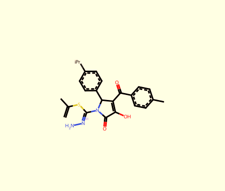 C=C(C)S/C(=N\N)N1C(=O)C(O)=C(C(=O)c2ccc(C)cc2)C1c1ccc(C(C)C)cc1